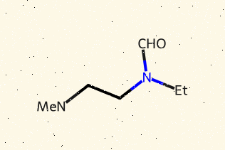 CCN(C=O)CCNC